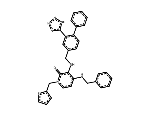 O=c1c(NCc2ccc(-c3ccccc3)c(-c3nnn[nH]3)c2)c(NCc2ccccc2)ccn1Cc1cccs1